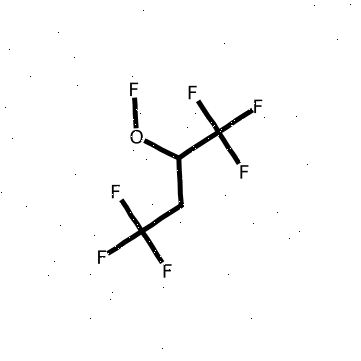 FOC(CC(F)(F)F)C(F)(F)F